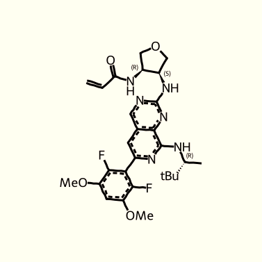 C=CC(=O)N[C@H]1COC[C@H]1Nc1ncc2cc(-c3c(F)c(OC)cc(OC)c3F)nc(N[C@H](C)C(C)(C)C)c2n1